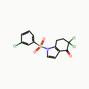 O=C1c2ccn(S(=O)(=O)c3cccc(Cl)c3)c2CCC1(Cl)Cl